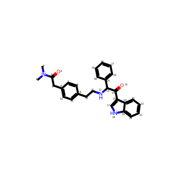 CN(C)C(=O)Cc1ccc(CCNC(C(=O)c2c[nH]c3ccccc23)c2ccccc2)cc1